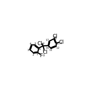 Fc1ccccc1C(Cl)(Cl)c1ccc(Cl)c(Cl)c1